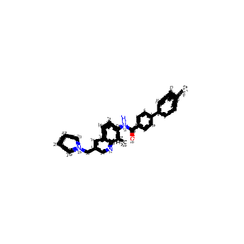 CCc1ccc(-c2ccc(C(=O)Nc3ccc4cc(CN5CCCC5)cnc4c3C)cc2)cc1